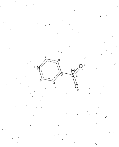 O=[SH](=O)c1ccncc1